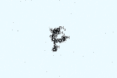 Cc1cc(C)c(S(=O)(=O)N[C@@H](CNC(=O)c2ccc3c(CCCNc4ccccn4)nn(Cc4ccccc4)c3c2)C(=O)O)c(C)c1.O=C(O)C(F)(F)F